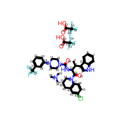 CC(c1c[nH]c2ccccc12)C(NC(=O)N1CCN(c2cccc(C(F)(F)F)c2)CC1)C(=O)N1C[C@@H](CN(C)C)Cc2cc(Cl)ccc21.O=C(O)C(F)(F)F.O=C(O)C(F)(F)F